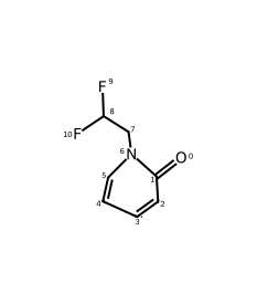 O=c1c[c]ccn1CC(F)F